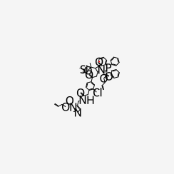 C=CCOC(=O)C(N1C(=O)C(C(C)O[Si](C)(C)C)C1CC(=O)c1ccc(CC(=O)NCc2cncn2C(=O)OCC=C)c(Cl)c1)=P(c1ccccc1)(c1ccccc1)c1ccccc1